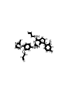 C=CCNc1nc(Nc2ccc(-n3ncnc3C)c(OCC=C)c2)nc2c1CCC2c1ccc(F)cc1F